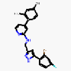 Cc1cc(C#N)ccc1-c1ccnc(NCc2cc(-c3ccc(F)cc3Br)[nH]n2)c1